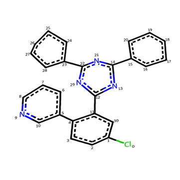 Clc1ccc(-c2cccnc2)c(-c2nc(-c3ccccc3)nc(-c3ccccc3)n2)c1